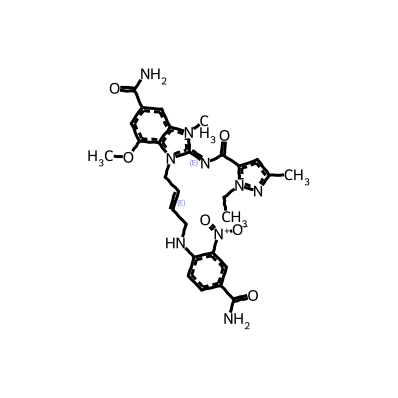 CCn1nc(C)cc1C(=O)/N=c1\n(C)c2cc(C(N)=O)cc(OC)c2n1C/C=C/CNc1ccc(C(N)=O)cc1[N+](=O)[O-]